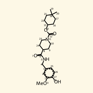 COc1cc(CNC(=O)C2CCN(C(=O)OC3CCC(C)(C)CC3)CC2)ccc1O